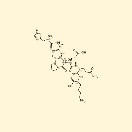 C[C@H](NC(=O)[C@@H](N)Cc1c[nH]cn1)C(=O)N[C@H](C(=O)N1CCC[C@H]1C(=O)N[C@@H](CCC(=O)O)C(=O)N[C@@H](CCC(N)=O)C(=O)N[C@@H](CCCCN)C(=O)O)[C@@H](C)O